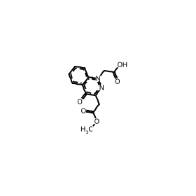 COC(=O)Cc1nn(CC(=O)O)c2ccccc2c1=O